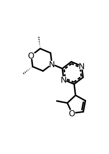 CC1OC=CC1c1cncc(N2C[C@@H](C)O[C@@H](C)C2)n1